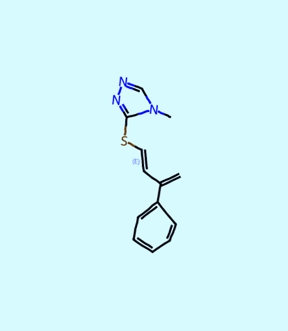 C=C(/C=C/Sc1nncn1C)c1ccccc1